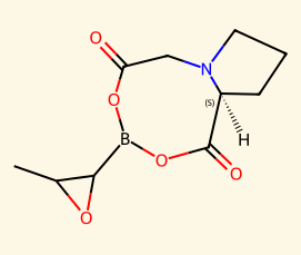 CC1OC1B1OC(=O)CN2CCC[C@H]2C(=O)O1